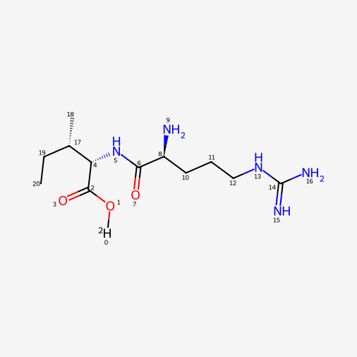 [2H]OC(=O)[C@@H](NC(=O)[C@@H](N)CCCNC(=N)N)[C@@H](C)CC